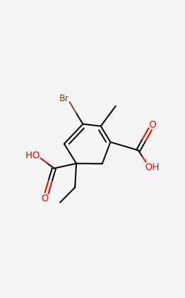 CCC1(C(=O)O)C=C(Br)C(C)=C(C(=O)O)C1